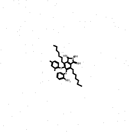 CCCCCCCc1c(Sc2ccc(C)cc2C)c(Sc2ccccc2N)c(CCCCCCC)c2c1C(=N)N(O)C2=N